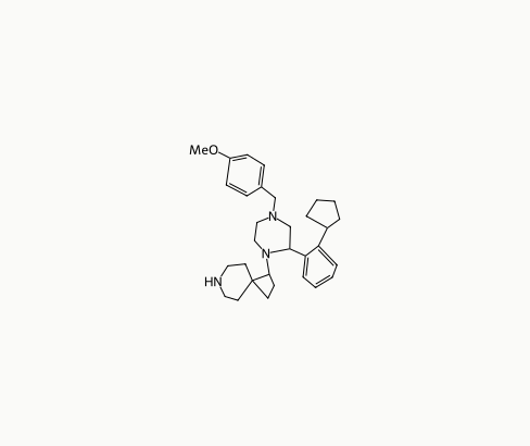 COc1ccc(CN2CCN(C3CCC34CCNCC4)C(c3ccccc3C3CCCC3)C2)cc1